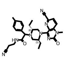 CC[C@H]1CN(C(C(=O)NCCC#N)c2ccc(C)cc2)[C@H](CC)CN1c1nc(=O)n(C)c2ccc(C#N)nc12